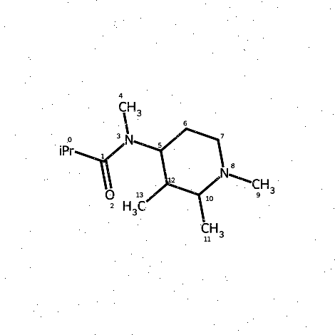 CC(C)C(=O)N(C)C1CCN(C)C(C)C1C